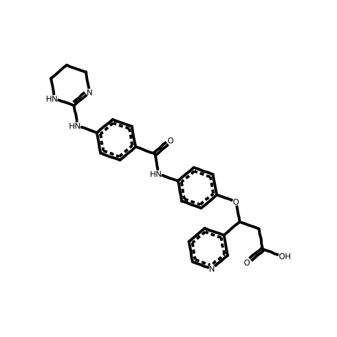 O=C(O)CC(Oc1ccc(NC(=O)c2ccc(NC3=NCCCN3)cc2)cc1)c1cccnc1